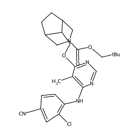 [C-]#[N+]c1ccc(Nc2ncnc(OCC3C4CCC3CN(C(=O)OCC(C)(C)C)C4)c2C)c(Cl)c1